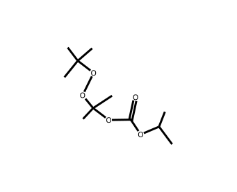 CC(C)OC(=O)OC(C)(C)OOC(C)(C)C